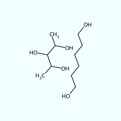 CC(O)C(O)C(C)O.OCCCCCCO